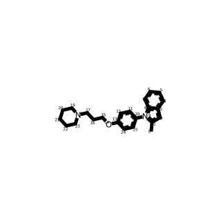 Cc1cc2ccccc2n1-c1ccc(OCCCN2CCCCC2)cc1